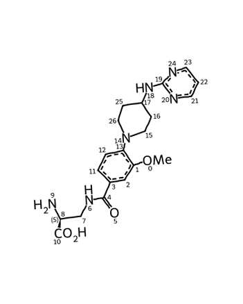 COc1cc(C(=O)NC[C@H](N)C(=O)O)ccc1N1CCC(Nc2ncccn2)CC1